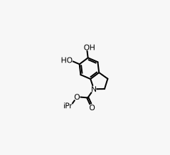 CC(C)OC(=O)N1CCc2cc(O)c(O)cc21